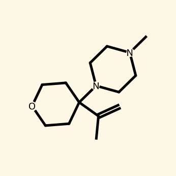 C=C(C)C1(N2CCN(C)CC2)CCOCC1